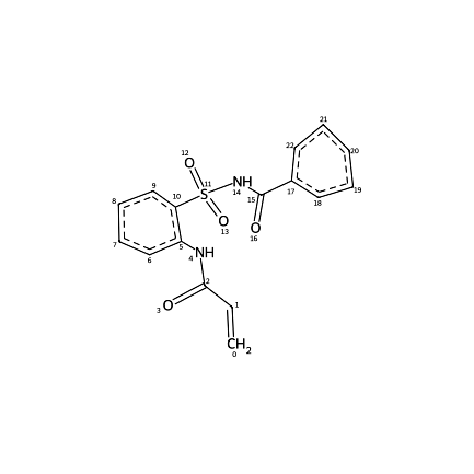 C=CC(=O)Nc1ccccc1S(=O)(=O)NC(=O)c1ccccc1